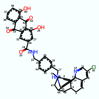 CC1C=C2C3CC=C4C=C(Cl)C=NC42C=C(NCc2ccc(CNC(=O)c4cc(O)c5c(c4)C(=O)c4cccc(O)c4C5=O)cc2)C(C1)C3